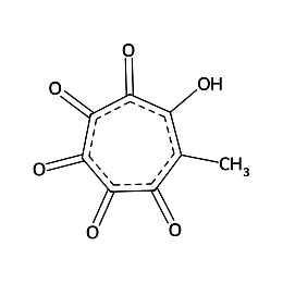 Cc1c(O)c(=O)c(=O)c(=O)c(=O)c1=O